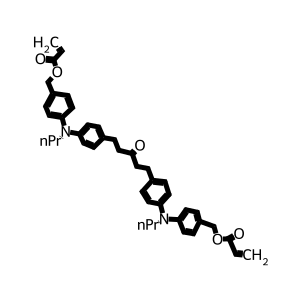 C=CC(=O)OCc1ccc(N(CCC)c2ccc(CCC(=O)CCc3ccc(N(CCC)c4ccc(COC(=O)C=C)cc4)cc3)cc2)cc1